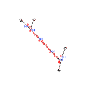 CC1=C(CCCCCCCCC(=O)CC(CCCCNC(=O)CCCCCCCCC2=C(C)CCCC2(C)C)C(=O)NCCCOCCOCCOCCCNC(=O)CCOCCOCCOCCOCCOCCC(=O)NCCCOCCOCCOCCCNC(=O)[C@H](CCCCNC(=O)CCCCCCCCC2=C(C)CCCC2(C)C)CC(=O)CCCCCCCCC2=C(C)CCCC2(C)C)C(C)(C)CCC1